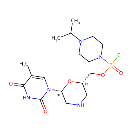 Cc1cn([C@H]2CNC[C@@H](COP(=O)(Cl)N3CCN(C(C)C)CC3)O2)c(=O)[nH]c1=O